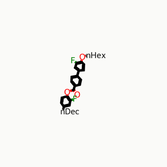 CCCCCCCCCCc1ccc(OC(=O)c2ccc(-c3ccc(OCCCCCC)c(F)c3)cc2)c(F)c1